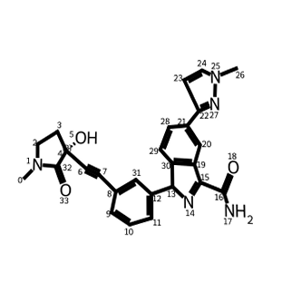 CN1CC[C@@](O)(C#Cc2cccc(C3N=C(C(N)=O)c4cc(-c5ccn(C)n5)ccc43)c2)C1=O